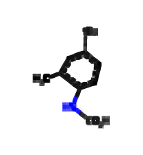 Cc1cc(C(C)(C)C)ccc1NC(=O)O